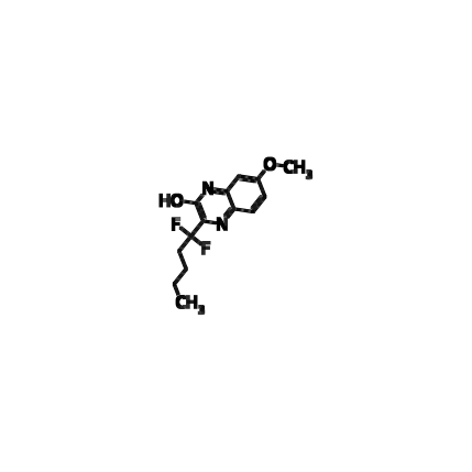 CCCCC(F)(F)c1nc2ccc(OC)cc2nc1O